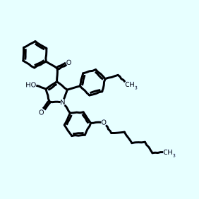 CCCCCCOc1cccc(N2C(=O)C(O)=C(C(=O)c3ccccc3)C2c2ccc(CC)cc2)c1